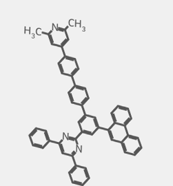 Cc1cc(-c2ccc(-c3ccc(-c4cc(-c5nc(-c6ccccc6)cc(-c6ccccc6)n5)cc(-c5cc6ccccc6c6ccccc56)c4)cc3)cc2)cc(C)n1